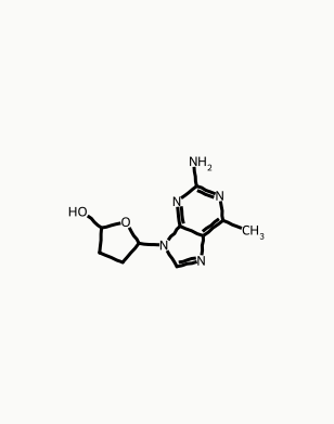 Cc1nc(N)nc2c1ncn2C1CCC(O)O1